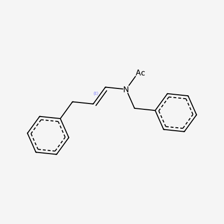 CC(=O)N(/C=C/Cc1ccccc1)Cc1ccccc1